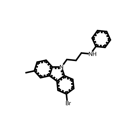 Cc1ccc2c(c1)c1cc(Br)ccc1n2CCCNc1ccccc1